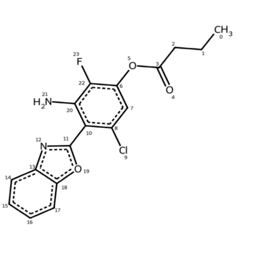 CCCC(=O)Oc1cc(Cl)c(-c2nc3ccccc3o2)c(N)c1F